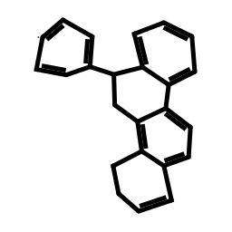 [c]1ccc(C2Cc3c(ccc4c3CCC=C4)-c3ccccc32)cc1